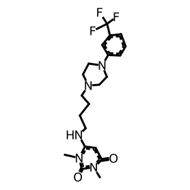 Cn1c(NCCCCN2CCN(c3cccc(C(F)(F)F)c3)CC2)cc(=O)n(C)c1=O